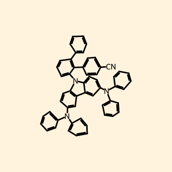 N#Cc1ccc(-c2c(-c3ccccc3)cccc2-n2c3ccc(N(c4ccccc4)c4ccccc4)cc3c3cc(N(c4ccccc4)c4ccccc4)ccc32)cc1